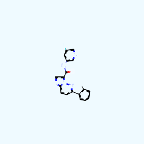 O=C(Nc1cncc(F)c1)c1cnc2ccc(-c3ccccc3C(F)(F)F)nn12